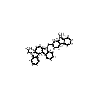 CCn1c2ccccc2c2c3c4ccccc4n(Cc4ccc5c6ccccc6n(C)c5c4)c3ccc21